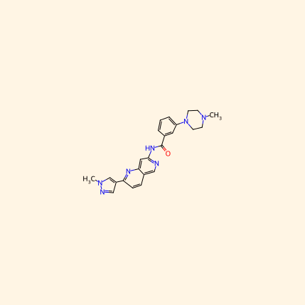 CN1CCN(c2cccc(C(=O)Nc3cc4nc(-c5cnn(C)c5)ccc4cn3)c2)CC1